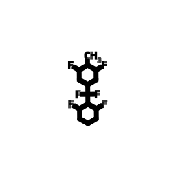 CC1C(F)CC(C(F)(F)C2C(F)CCCC2F)CC1F